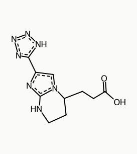 O=C(O)CCC1CCNc2nc(-c3nnn[nH]3)cn21